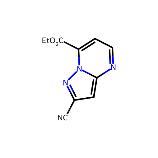 CCOC(=O)c1ccnc2cc(C#N)nn12